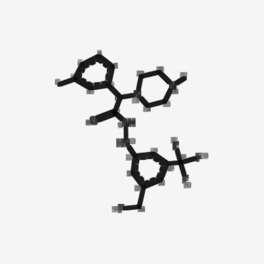 Cc1cccc(C(C(=O)NNc2cc(CF)cc(C(F)(F)F)c2)N2CCN(C)CC2)c1